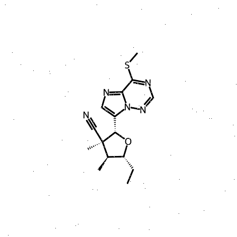 CC[C@H]1O[C@@H](c2cnc3c(SC)ncnn23)[C@](C)(C#N)[C@@H]1C